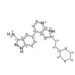 Nc1n[nH]c2ccc(-c3ccnc4[nH]c(CCC5CCCCC5)cc34)cc12